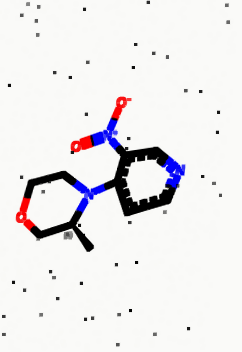 C[C@H]1COCCN1c1ccncc1[N+](=O)[O-]